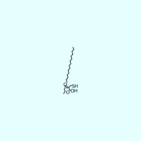 CCCCCCCCCCCCCCCCON(CCC)C(CS)C(=O)O